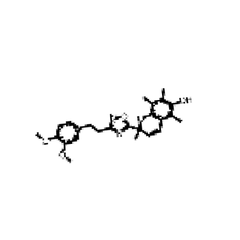 COc1ccc(CCc2noc(C3(C)C=Cc4c(C)c(O)c(C)c(C)c4O3)n2)cc1OC